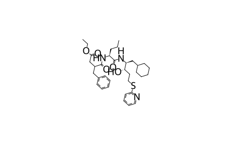 CCC[C@H](NC(=O)C(CC(=O)OCC)Cc1ccccc1)C(=O)N[C@@H](CC1CCCCC1)[C@@H](O)CCSc1ccccn1